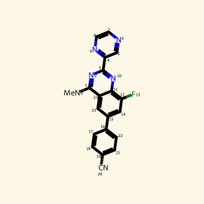 CNc1nc(-c2cnccn2)nc2c(F)cc(-c3ccc(C#N)cc3)cc12